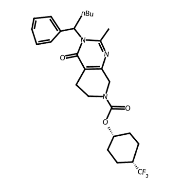 CCCCC(c1ccccc1)n1c(C)nc2c(c1=O)CCN(C(=O)O[C@H]1CC[C@@H](C(F)(F)F)CC1)C2